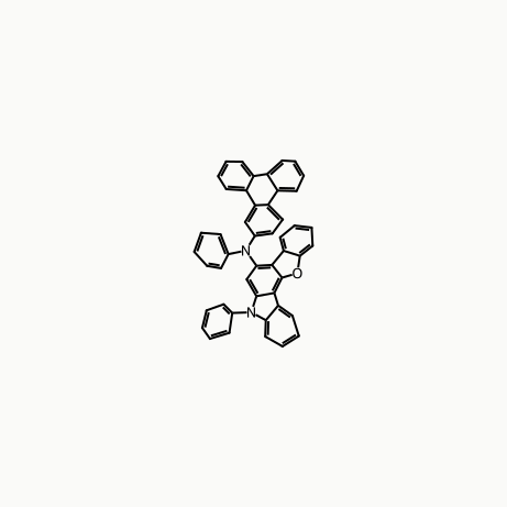 c1ccc(N(c2ccc3c4ccccc4c4ccccc4c3c2)c2cc3c(c4ccccc4n3-c3ccccc3)c3oc4ccccc4c23)cc1